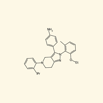 CCOc1cccc(C)c1-n1nc2c(c1-c1ccc(N)cc1)CN(c1ccccc1C(C)C)CC2